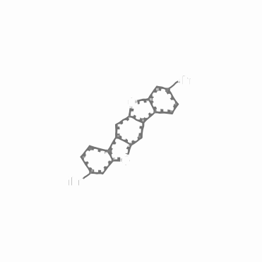 CC(C)c1ccc2c(c1)oc1cc3c(cc12)oc1cc(C(C)C)ccc13